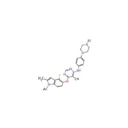 CCN1CCN(c2ccc(Nc3ncnc(Oc4ccc5c(cc(C)n5C(C)=O)c4F)c3C#N)cc2)CC1